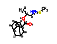 CC(CNSC(F)(F)F)OC(=O)C12CC3CC(CC(C3)C1)C2